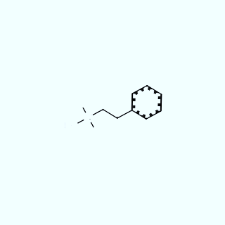 C[Si](C)(C)CCc1cc[c]cc1